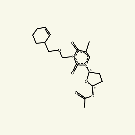 CC(=O)O[C@@H]1CC[C@H](n2cc(C)c(=O)n(COCC3C=CCCC3)c2=O)O1